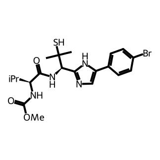 COC(=O)N[C@H](C(=O)N[C@H](c1ncc(-c2ccc(Br)cc2)[nH]1)C(C)(C)S)C(C)C